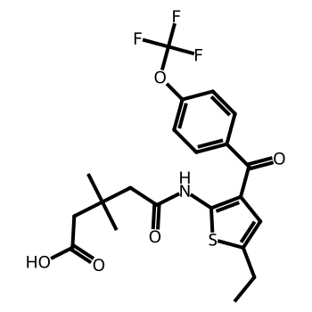 CCc1cc(C(=O)c2ccc(OC(F)(F)F)cc2)c(NC(=O)CC(C)(C)CC(=O)O)s1